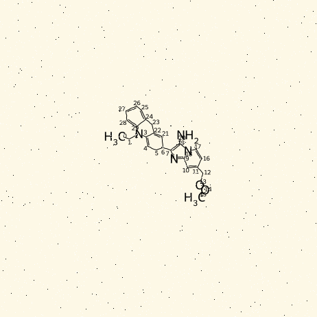 CCN1C2=CCC(c3nc4cc(COOC)ccn4c3N)C=C2Cc2ccccc21